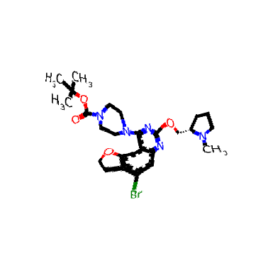 CN1CCC[C@H]1COc1nc(N2CCN(C(=O)OC(C)(C)C)CC2)c2c3c(c(Br)cc2n1)CCO3